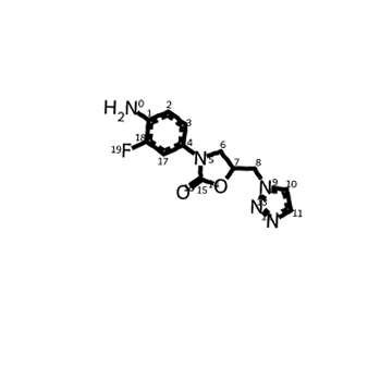 Nc1ccc(N2CC(Cn3ccnn3)OC2=O)cc1F